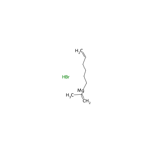 Br.C=CCCC[CH2][Mg][C](=C)C